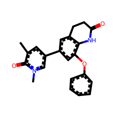 Cc1cc(-c2cc3c(c(Oc4ccccc4)c2)NC(=O)CC3)cn(C)c1=O